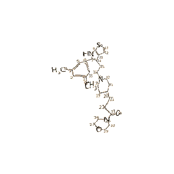 Cc1cc(C)cc(-c2[nH]c3sccc3c2CCN2CCC(CCC(=O)N3CCOCC3)CC2)c1